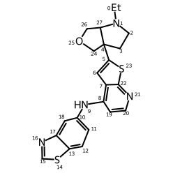 CCN1CCC2(c3cc4c(Nc5ccc6scnc6c5)ccnc4s3)COCC12